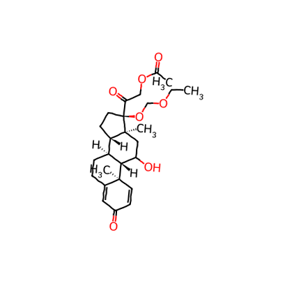 CCOCO[C@]1(C(=O)COC(C)=O)CC[C@H]2[C@@H]3CCC4=CC(=O)C=C[C@]4(C)[C@H]3C(O)C[C@@]21C